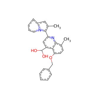 Cc1cc2ccccn2c1-c1cc(C(O)O)c2c(OCc3ccccc3)ccc(C)c2n1